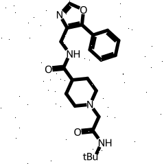 CC(C)(C)NC(=O)CN1CCC(C(=O)NCc2ncoc2-c2ccccc2)CC1